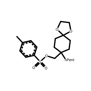 CCCCCC1(COS(=O)(=O)c2ccc(C)cc2)CCC2(CC1)OCCO2